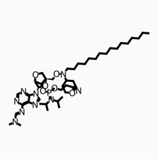 CCCCCCCCCCCCCCCCN(OC[C@]12COC(C1OP(OCCC#N)N(C(C)C)C(C)C)[C@H](n1cnc3c(N=CN(C)C)ncnc31)O2)C1CCOCC1